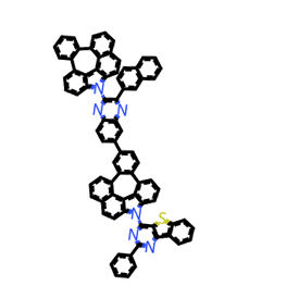 c1ccc(-c2nc(-n3c4cccc5c4c4c6c(cccc6ccc43)-c3cc(-c4ccc6nc(-n7c8cccc9c8c8c%10c(cccc%10ccc87)-c7ccccc7-9)c(-c7ccc8ccccc8c7)nc6c4)ccc3-5)c3sc4ccccc4c3n2)cc1